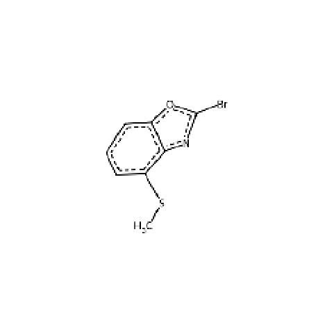 CSc1cccc2oc(Br)nc12